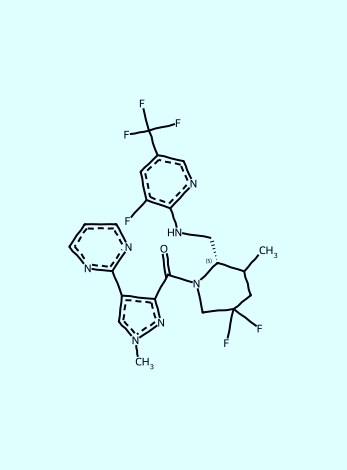 CC1CC(F)(F)CN(C(=O)c2nn(C)cc2-c2ncccn2)[C@@H]1CNc1ncc(C(F)(F)F)cc1F